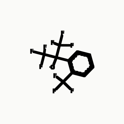 [O]C(c1ccccc1C(F)(F)F)(C(F)(F)F)C(F)(F)F